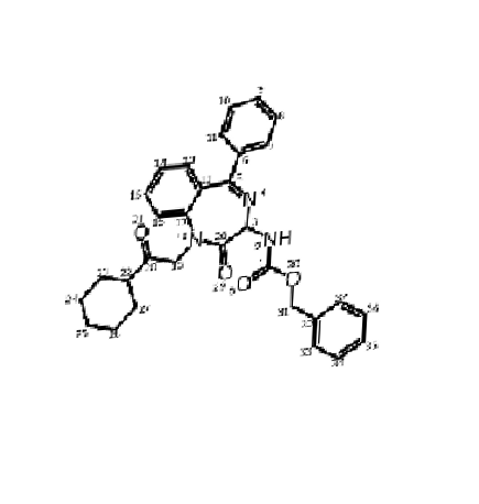 O=C(NC1N=C(c2ccccc2)c2ccccc2N(CC(=O)C2CCCCC2)C1=O)OCc1ccccc1